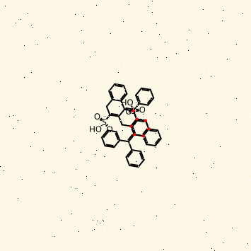 O=S(=O)(O)C1=C(CC2=C(S(=O)(=O)O)Cc3ccccc3C2=C(c2ccccc2)c2ccccc2)C(=C(c2ccccc2)c2ccccc2)c2ccccc2C1